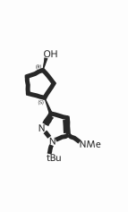 CNc1cc([C@H]2CC[C@@H](O)C2)nn1C(C)(C)C